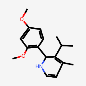 COc1ccc(C2NC=CC(C)=C2C(C)C)c(OC)c1